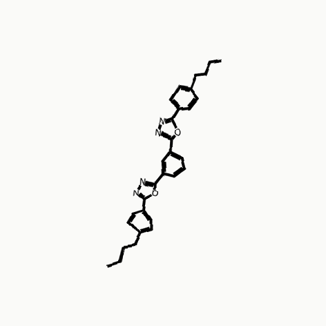 CCCCc1ccc(-c2nnc(-c3cccc(-c4nnc(-c5ccc(CCCC)cc5)o4)c3)o2)cc1